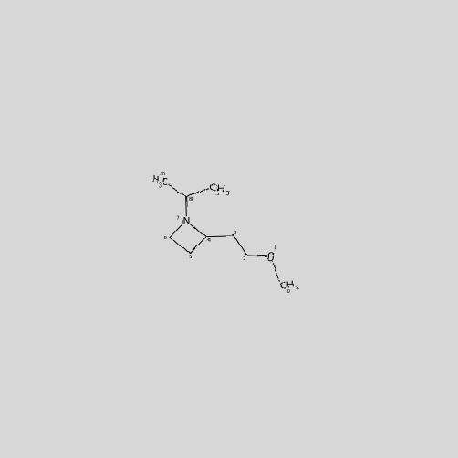 COCCC1CCN1C(C)C